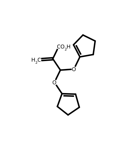 C=C(C(=O)O)C(OC1=CCCC1)OC1=CCCC1